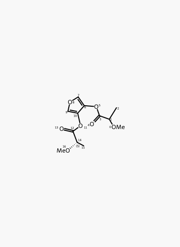 COC(C)C(=O)Oc1cocc1OC(=O)[C@H](C)OC